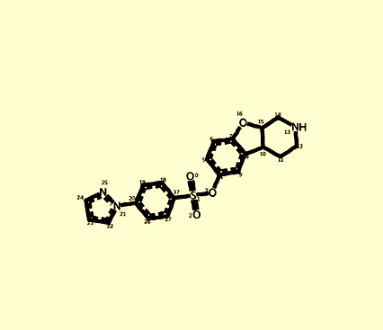 O=S(=O)(Oc1ccc2c(c1)C1CCNCC1O2)c1ccc(-n2cccn2)cc1